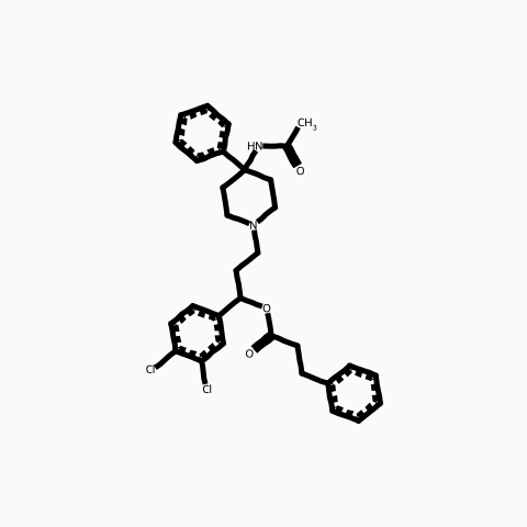 CC(=O)NC1(c2ccccc2)CCN(CCC(OC(=O)CCc2ccccc2)c2ccc(Cl)c(Cl)c2)CC1